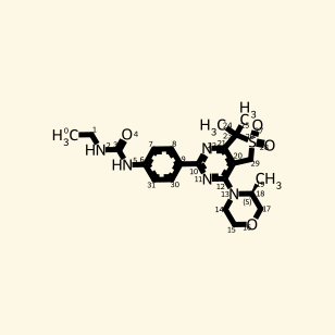 CCNC(=O)Nc1ccc(-c2nc(N3CCOC[C@@H]3C)c3c(n2)C(C)(C)S(=O)(=O)C3)cc1